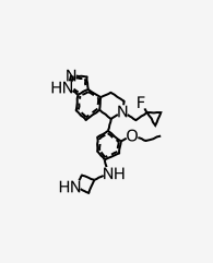 CCOc1cc(NC2CNC2)ccc1C1c2ccc3[nH]ncc3c2CCN1CC1(F)CC1